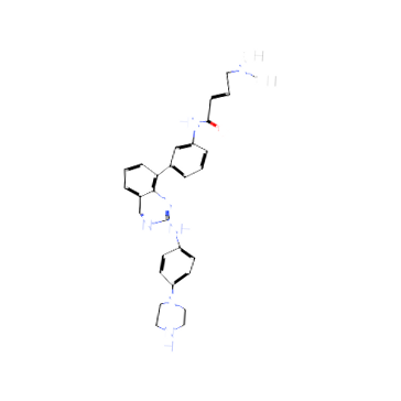 CN(C)CC=CC(=O)Nc1cccc(-c2cccc3cnc(Nc4ccc(N5CCNCC5)cc4)nc23)c1